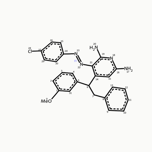 COc1cccc(C(Cc2ccccc2)c2cc(N)nc(N)c2/N=N/c2ccc(Cl)cc2)c1